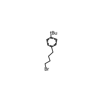 CC(C)(C)c1ccc(CCCCBr)cc1